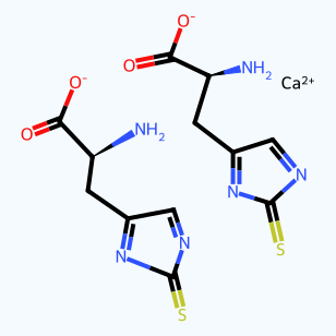 N[C@@H](CC1=NC(=S)N=C1)C(=O)[O-].N[C@@H](CC1=NC(=S)N=C1)C(=O)[O-].[Ca+2]